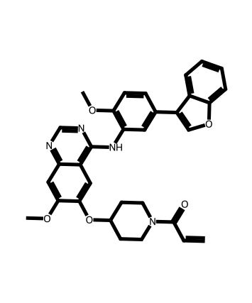 C=CC(=O)N1CCC(Oc2cc3c(Nc4cc(-c5coc6ccccc56)ccc4OC)ncnc3cc2OC)CC1